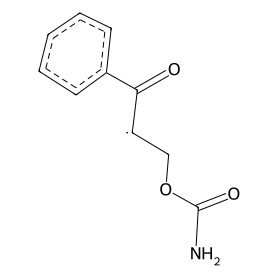 NC(=O)OC[CH]C(=O)c1ccccc1